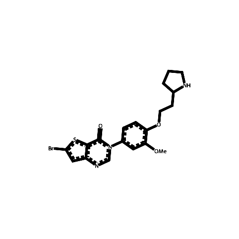 COc1cc(-n2cnc3cc(Br)sc3c2=O)ccc1OCCC1CCCN1